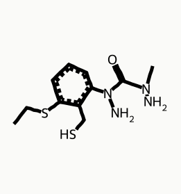 CCSc1cccc(N(N)C(=O)N(C)N)c1CS